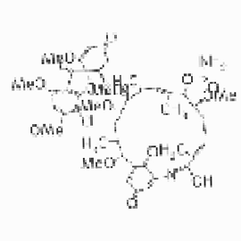 COC1=CC(=O)C[C@@H](C)[C@]12Oc1c(Cl)c(OC)cc(OC)c1C2=O.CO[C@H]1[C@@H](OC)C[C@H](C)[C@@H](OC)C2=CC(=O)C=C(N=C(O)/C(C)=C/C=C\[C@H](OC)[C@@H](OC(N)=O)/C(C)=C/[C@@H]1C)C2=O